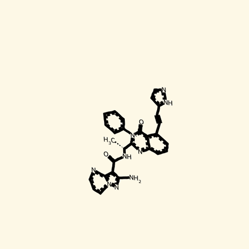 C[C@@H](NC(=O)c1c(N)nn2cccnc12)c1nc2cccc(C#Cc3ccn[nH]3)c2c(=O)n1-c1ccccc1